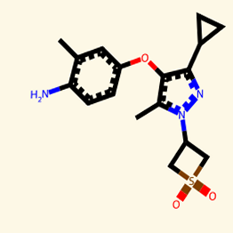 Cc1cc(Oc2c(C3CC3)nn(C3CS(=O)(=O)C3)c2C)ccc1N